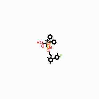 Cc1cc(C)c(C=CCO[PH](=O)CC(CC(=O)O)O[Si](c2ccccc2)(c2ccccc2)C(C)(C)C)c(-c2ccc(F)c(C)c2)c1